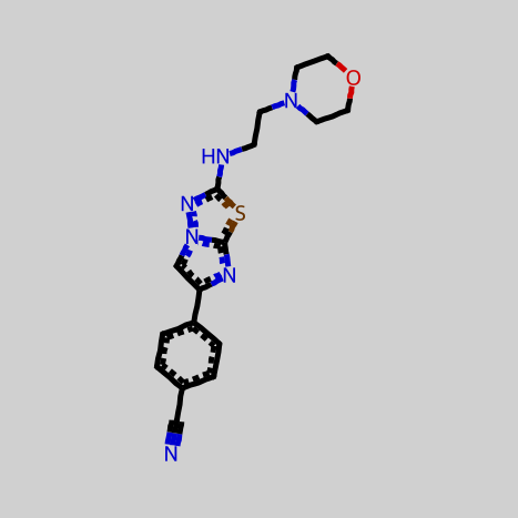 N#Cc1ccc(-c2cn3nc(NCCN4CCOCC4)sc3n2)cc1